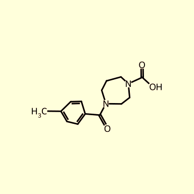 Cc1ccc(C(=O)N2CCCN(C(=O)O)CC2)cc1